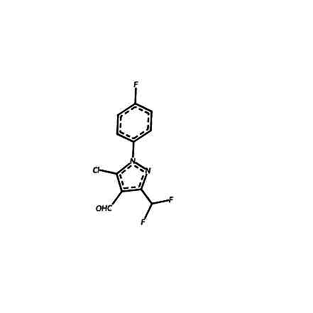 O=Cc1c(C(F)F)nn(-c2ccc(F)cc2)c1Cl